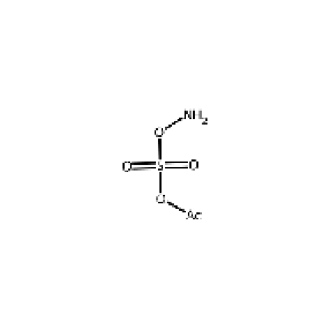 CC(=O)OS(=O)(=O)ON